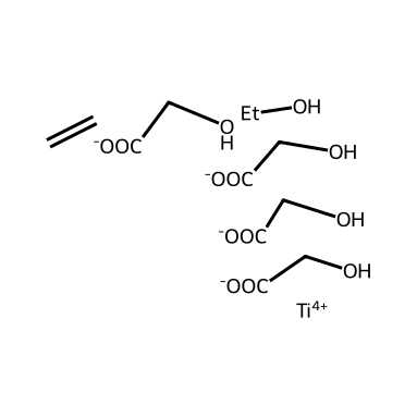 C=C.CCO.O=C([O-])CO.O=C([O-])CO.O=C([O-])CO.O=C([O-])CO.[Ti+4]